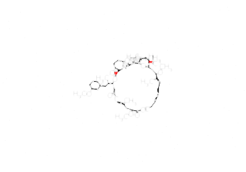 CN[C@@]12CC[C@@H](C)[C@@](O)(O1)C(=O)C(=O)N1CCCC[C@H]1C(=O)O[C@H]([C@H](C)CC1CCC[C@H](OC)C1)CC(=O)C/C=C(\C)C[C@@H](OC)C(=O)CCC/C=C/C=C/C=C(\C)[C@@H](OC)C2